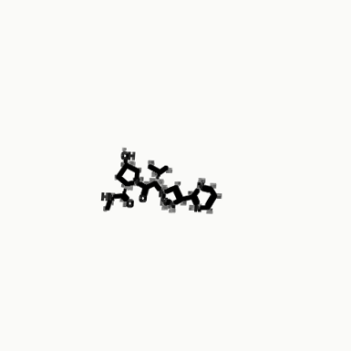 CNC(=O)[C@@H]1C[C@@H](O)CN1C(=O)[C@H](C(C)C)n1cc(-c2ncccn2)nn1